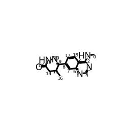 CNc1ncnc2cc(C3=NNC(=O)CC3C)ccc12